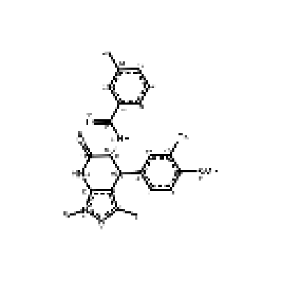 CSc1ccc([C@H]2c3c(C)nn(C)c3NC(=O)[C@@H]2NC(=O)c2cccc(C)c2)cc1F